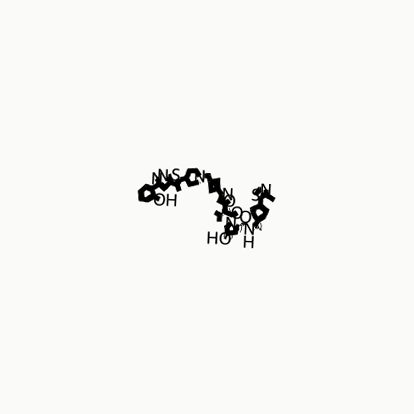 Cc1ncsc1-c1ccc([C@H](C)NC(=O)[C@@H]2C[C@@H](O)CN2C(=O)[C@@H](c2cc(C34CC(CN5CCC(c6sc7nnc(-c8ccccc8O)cc7c6C)CC5)(C3)C4)no2)C(C)C)cc1